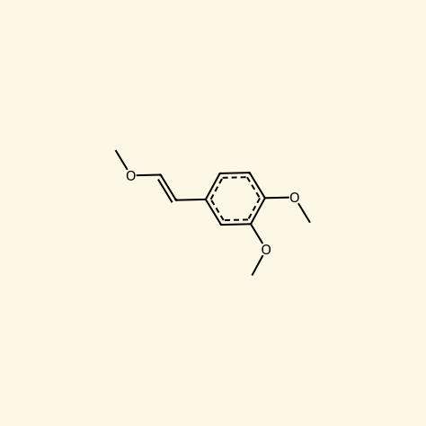 COC=Cc1ccc(OC)c(OC)c1